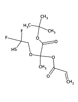 C=CC(=O)OC(C)(OCC(F)(F)S)C(=O)OC(C)(C)C